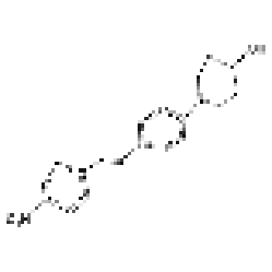 O=[N+]([O-])c1ccc(C=Cc2ccc(N3CCC(O)CC3)cc2)cc1